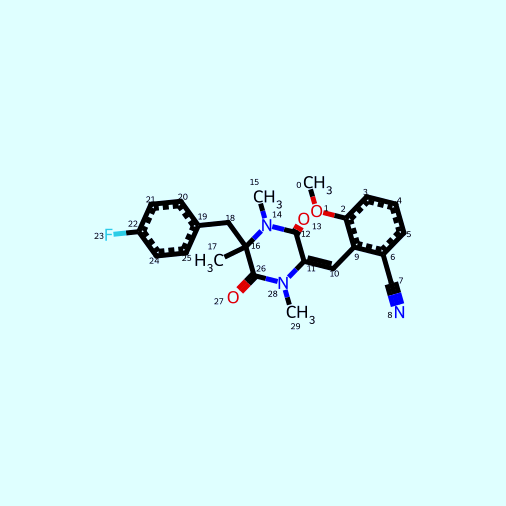 COc1cccc(C#N)c1C=C1C(=O)N(C)C(C)(Cc2ccc(F)cc2)C(=O)N1C